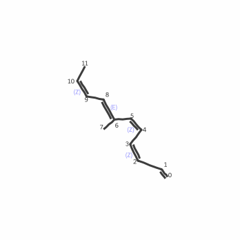 C=C\C=C/C=C\C(C)=C\C=C/C